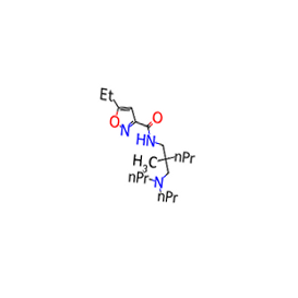 CCCN(CCC)CC(C)(CCC)CNC(=O)c1cc(CC)on1